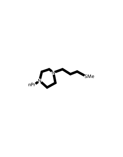 CCCN1CCN(CCCSC)CC1